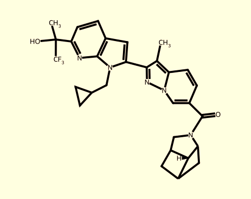 Cc1c(-c2cc3ccc(C(C)(O)C(F)(F)F)nc3n2CC2CC2)nn2cc(C(=O)N3CC4CC5CC3[C@H]54)ccc12